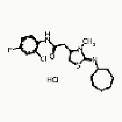 CN1/C(=N/C2CCCCCC2)SCC1CC(=O)Nc1ccc(F)cc1Cl.Cl